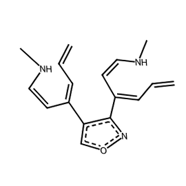 C=C/C=C(\C=C/NC)c1conc1C(/C=C\NC)=C/C=C